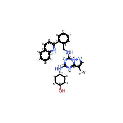 CC(C)c1cnn2c(NCc3ccccc3-c3ccc4ccccc4n3)nc(N[C@H]3CC[C@@H](O)CC3)nc12